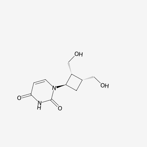 O=c1ccn([C@@H]2C[C@@H](CO)[C@H]2CO)c(=O)[nH]1